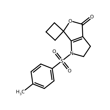 Cc1ccc(S(=O)(=O)N2CCC3=C2C2(CCC2)OC3=O)cc1